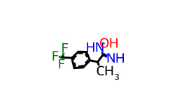 CC(C(=N)NO)c1ccc(C(F)(F)F)cc1